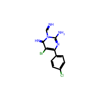 N=Cn1c(N)nc(-c2ccc(Cl)cc2)c(Br)c1=N